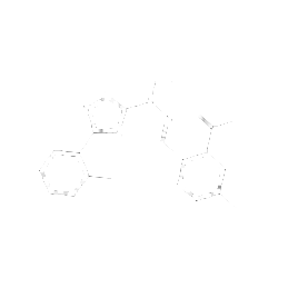 CN(/N=C/c1ccc(F)cc1C(=O)O)c1nc(-c2ccccc2Cl)ns1